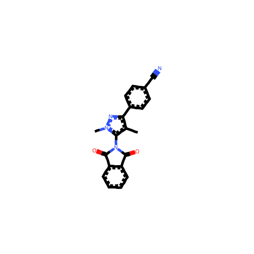 Cc1c(-c2ccc(C#N)cc2)nn(C)c1N1C(=O)c2ccccc2C1=O